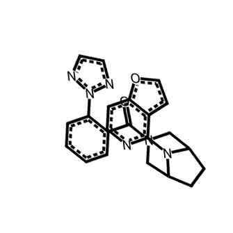 O=C(c1ccccc1-n1nccn1)N1CC2CCC(C1)N2c1nccc2occc12